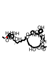 CC[C@H]1C[C@@H]2C[C@H]3[C@@H](O)[C@@H](C)[C@H](C[C@H](O)[C@@H](C)CC/C=C/C=C(\C)[C@@H]4C/C=C/C=C/[C@H](O)[C@H](C)[C@@H](O)[C@@H](CCC(C)=O)C(=O)N[C@@H](C(C)C)C(=O)NC(c5cccc(O)c5)C(=O)N5CCCC(N5)C(=O)O4)O[C@]23NC1=O